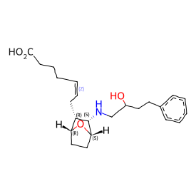 O=C(O)CCC/C=C\C[C@@H]1[C@H](NCC(O)CCc2ccccc2)[C@@H]2CC[C@H]1O2